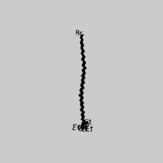 CCO[Si](CCCCCCCCCCCCCCCCCCCCCCCCCCCCCCCCCCCCBr)(OCC)OCC